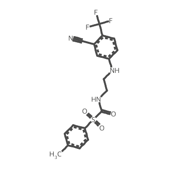 Cc1ccc(S(=O)(=O)C(=O)NCCNc2ccc(C(F)(F)F)c(C#N)c2)cc1